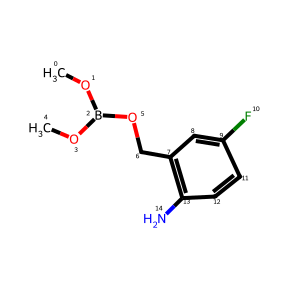 COB(OC)OCc1cc(F)ccc1N